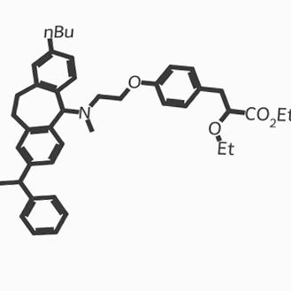 CCCCc1ccc2c(c1)CCc1cc(C(C)c3ccccc3)ccc1C2N(C)CCOc1ccc(CC(OCC)C(=O)OCC)cc1